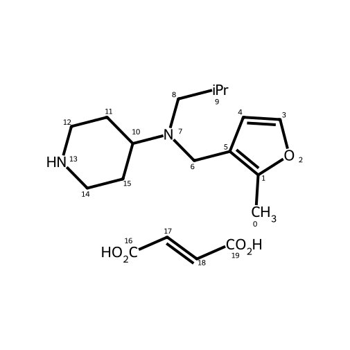 Cc1occc1CN(CC(C)C)C1CCNCC1.O=C(O)C=CC(=O)O